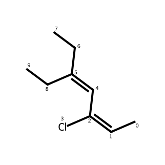 C/C=C(/Cl)C=C(CC)CC